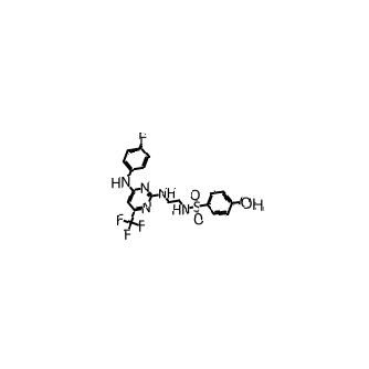 O=S(=O)(NCCNc1nc(Nc2ccc(F)cc2)cc(C(F)(F)F)n1)c1ccc(O)cc1